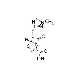 Cn1cnc(C=C2C(=O)N3C(C(=O)O)=CS[C@H]23)n1